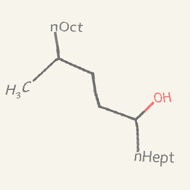 CCCCCCCCC(C)CCC(O)CCCCCCC